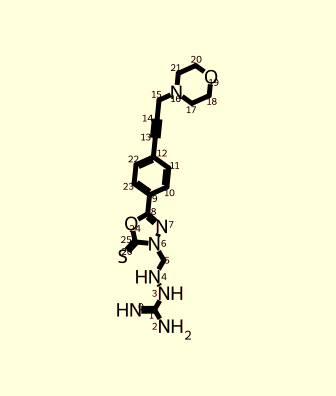 N=C(N)NNCn1nc(-c2ccc(C#CCN3CCOCC3)cc2)oc1=S